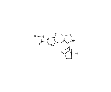 C[C@H]1COc2cc(C(=O)NO)ccc2CN1C(O)N1C[C@H]2CC[C@H](C1)O2